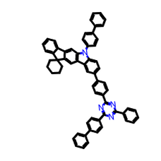 c1ccc(-c2ccc(-c3nc(-c4ccccc4)nc(-c4ccc(-c5ccc6c(c5)c5cc7c(cc5n6-c5ccc(-c6ccccc6)cc5)-c5ccccc5C75CCCCC5)cc4)n3)cc2)cc1